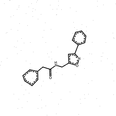 O=C(Cc1ccccc1)NCc1cc(-c2ccccc2)no1